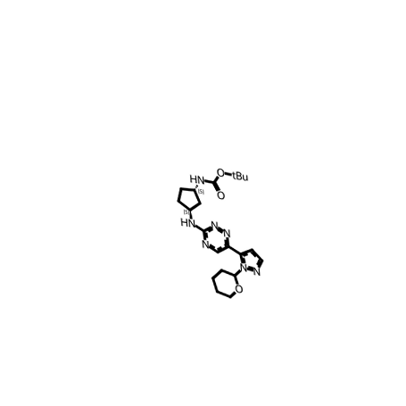 CC(C)(C)OC(=O)N[C@H]1CC[C@H](Nc2ncc(-c3ccnn3C3CCCCO3)nn2)C1